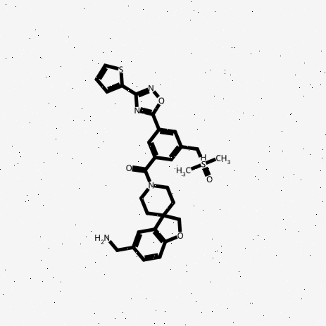 C[SH](C)(=O)Cc1cc(C(=O)N2CCC3(CC2)COc2ccc(CN)cc23)cc(-c2nc(-c3cccs3)no2)c1